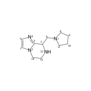 c1cn2c(n1)C(CN1CCCC1)NCC2